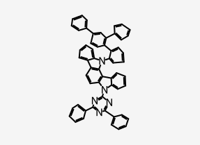 c1ccc(-c2ccc(-c3ccccc3-n3c4ccccc4c4ccc5c(c6ccccc6n5-c5nc(-c6ccccc6)nc(-c6ccccc6)n5)c43)c(-c3ccccc3)c2)cc1